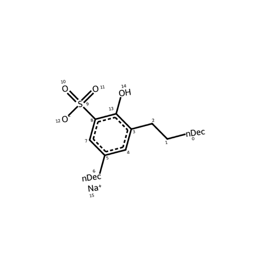 CCCCCCCCCCCCc1cc(CCCCCCCCCC)cc(S(=O)(=O)[O-])c1O.[Na+]